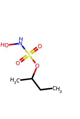 CCC(C)OS(=O)(=O)NO